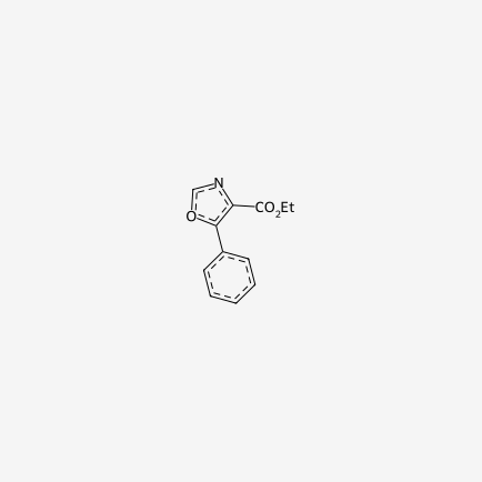 CCOC(=O)c1ncoc1-c1ccccc1